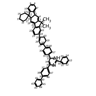 CC1(C)C2=CC3c4ccccc4C4(CCCCC4)C3C=C2c2ccc(C3=CC=C(c4ccc(C5C=C(c6ccc(-c7ccccc7)cc6)N=C(c6ccccc6)N5)cc4)CC3)cc21